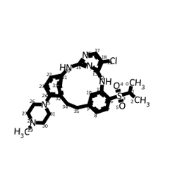 CC(C)S(=O)(=O)c1ccc2cc1Nc1nc(ncc1Cl)Nc1ccc(N3CCN(C)CC3)c(c1)CC2